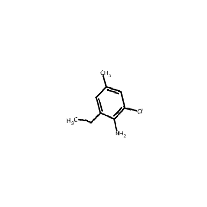 CCc1cc(C)cc(Cl)c1N